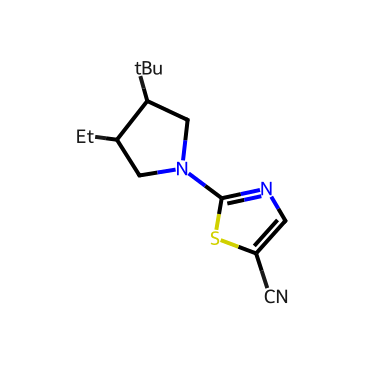 CCC1CN(c2ncc(C#N)s2)CC1C(C)(C)C